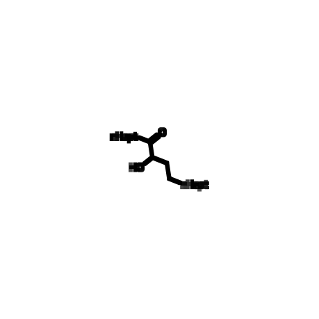 CCCCCCCCCC(O)C(=O)CCCCCCC